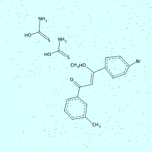 C.Cc1cccc(C(=O)C=C(O)c2ccc(Br)cc2)c1.NC(O)=S.NC(O)=S